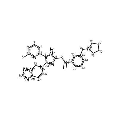 Cc1cccc(-c2[nH]c(CNc3cccc(CN4CCCC4)c3)nc2N2C=Cc3ncnn3C2)n1